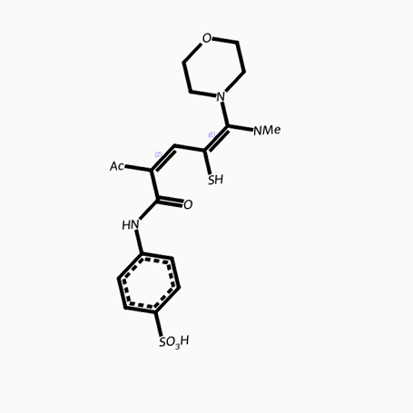 CN/C(=C(S)/C=C(/C(C)=O)C(=O)Nc1ccc(S(=O)(=O)O)cc1)N1CCOCC1